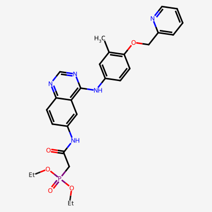 CCOP(=O)(CC(=O)Nc1ccc2ncnc(Nc3ccc(OCc4ccccn4)c(C)c3)c2c1)OCC